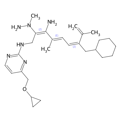 C=C(C)\C(=C/C=C(C)/C(N)=C(\CNc1nccc(COC2CC2)n1)N(C)N)CC1CCCCC1